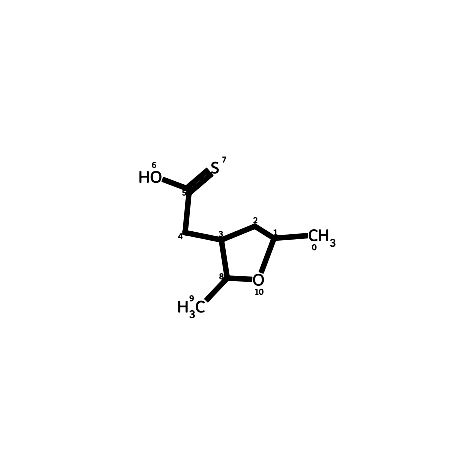 CC1CC(CC(O)=S)C(C)O1